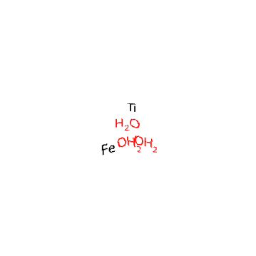 O.O.O.[Fe].[Ti]